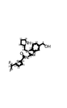 O=C(Nc1nc2cc(CO)ccc2n1CC1CCCN1)c1ccc(C(F)F)s1